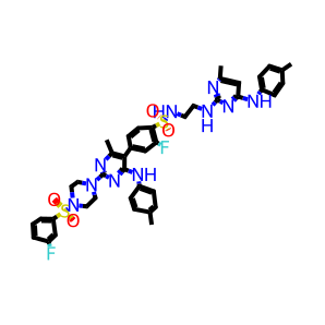 Cc1ccc(Nc2cc(C)nc(NCCNS(=O)(=O)c3ccc(-c4c(C)nc(N5CCN(S(=O)(=O)c6cccc(F)c6)CC5)nc4Nc4ccc(C)cc4)cc3F)n2)cc1